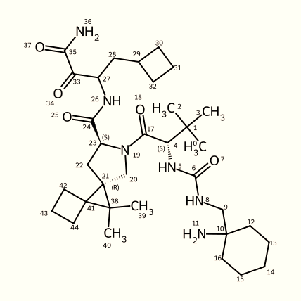 CC(C)(C)[C@H](NC(=O)NCC1(N)CCCCC1)C(=O)N1C[C@]2(C[C@H]1C(=O)NC(CC1CCC1)C(=O)C(N)=O)C(C)(C)C21CCC1